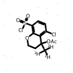 [2H]C([2H])([2H])C1(OC(C)=O)CCOc2c(S(=O)(=O)Cl)ccc(Cl)c21